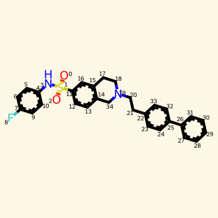 O=S(=O)(Nc1ccc(F)cc1)c1ccc2c(c1)CCN(CCc1ccc(-c3ccccc3)cc1)C2